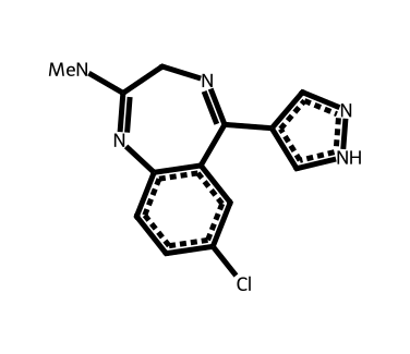 CNC1=Nc2ccc(Cl)cc2C(c2cn[nH]c2)=NC1